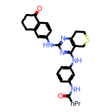 CCCC(=O)Nc1cccc(Nc2nc(Nc3ccc4c(c3)CCCC4=O)nc3c2CSCC3)c1